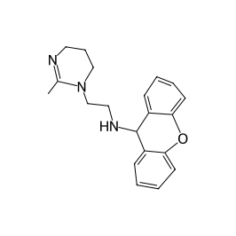 CC1=NCCCN1CCNC1c2ccccc2Oc2ccccc21